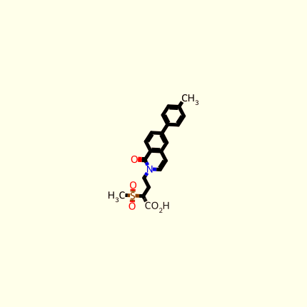 Cc1ccc(-c2ccc3c(=O)n(CCC(C(=O)O)S(C)(=O)=O)ccc3c2)cc1